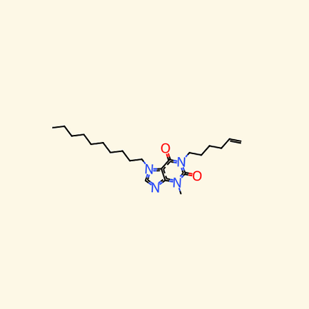 C=CCCCCn1c(=O)c2c(ncn2CCCCCCCCCC)n(C)c1=O